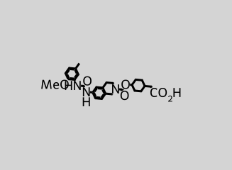 COc1ccc(C)cc1NC(=O)Nc1ccc2c(c1)CCN(C(=O)OC1CCC(CC(=O)O)CC1)C2